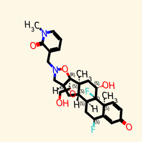 Cn1cccc(CN2C[C@@H]3C[C@H]4[C@@H]5C[C@H](F)C6=CC(=O)C=C[C@]6(C)[C@@]5(F)[C@@H](O)C[C@]4(C)[C@]3(C(=O)CO)O2)c1=O